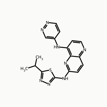 CC(C)c1nnc(Nc2ccc3nccc(Nc4ccnnc4)c3n2)s1